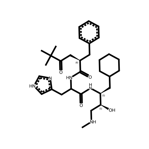 CNC[C@H](O)[C@H](CC1CCCCC1)NC(=O)C(Cc1c[nH]cn1)NC(=O)[C@@H](CC(=O)C(C)(C)C)Cc1ccccc1